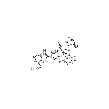 COc1cccc2[nH]c(C(=O)N[C@@H](CC3CCC(F)(F)CC3)C(=O)N[C@H](C#N)C[C@@H]3CCNC3=O)cc12